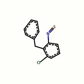 S=Nc1cccc(Cl)c1Cc1ccccc1